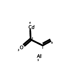 C=C[C](=O)[Cd].[Al]